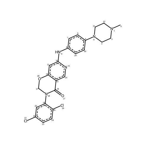 CN1CCN(c2ccc(Nc3cc4c(cn3)C(=O)N(c3cc(Cl)ccc3Cl)CO4)cc2)CC1